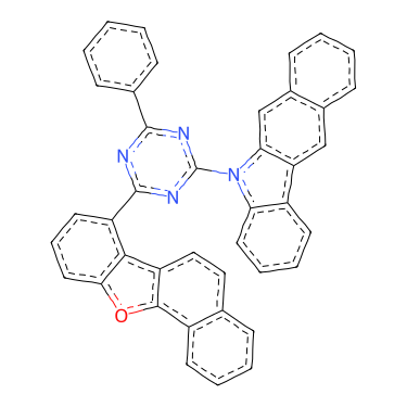 c1ccc(-c2nc(-c3cccc4oc5c6ccccc6ccc5c34)nc(-n3c4ccccc4c4cc5ccccc5cc43)n2)cc1